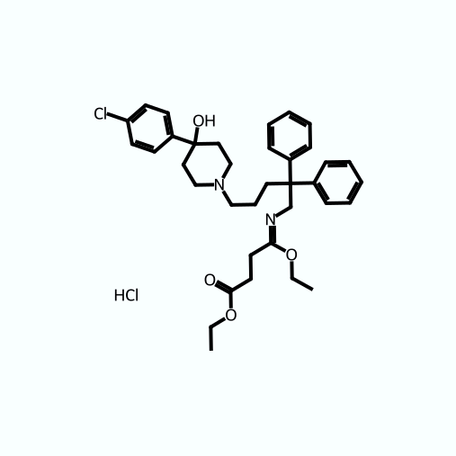 CCOC(=O)CCC(=NCC(CCCN1CCC(O)(c2ccc(Cl)cc2)CC1)(c1ccccc1)c1ccccc1)OCC.Cl